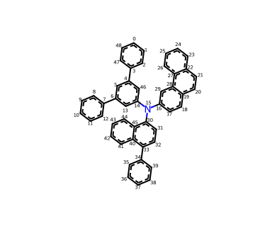 c1ccc(-c2cc(-c3ccccc3)cc(N(c3ccc4ccc5ccccc5c4c3)c3ccc(-c4ccccc4)c4ccccc34)c2)cc1